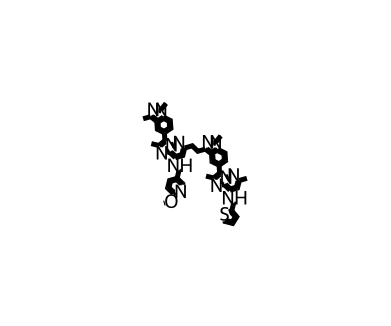 COc1ccc(CNc2cc(CCc3nn(C)c4ccc(-c5c(C)nc6c(NCc7cccs7)cc(C)nn56)cc34)nn3c(-c4ccc5c(c4)c(C)nn5C)c(C)nc23)cn1